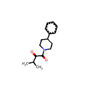 CC(C)C(=O)C(=O)N1CCC(c2ccccc2)CC1